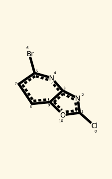 Clc1nc2nc(Br)ccc2o1